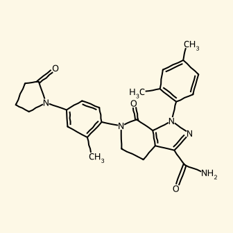 Cc1ccc(-n2nc(C(N)=O)c3c2C(=O)N(c2ccc(N4CCCC4=O)cc2C)CC3)c(C)c1